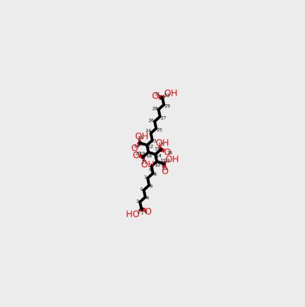 O=C(O)CCCCCCCC(C(=O)O)C(C(=O)O)C(C(=O)O)C(CCCCCCCC(=O)O)C(=O)O